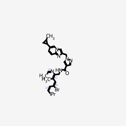 C\C=N/C(CNC(=O)c1cnn(Cc2cn3cc(C4CC4C)ccc3n2)c1)=C(C)/C=C(Br)\C=C/C(C)C